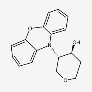 O[C@H]1CCOC[C@@H]1N1c2ccccc2Oc2ccccc21